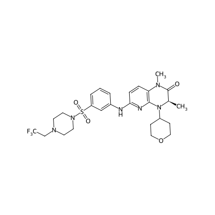 C[C@@H]1C(=O)N(C)c2ccc(Nc3cccc(S(=O)(=O)N4CCN(CC(F)(F)F)CC4)c3)nc2N1C1CCOCC1